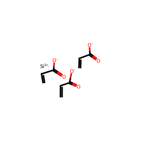 C=CC(=O)[O-].C=CC(=O)[O-].C=CC(=O)[O-].[Si+3]